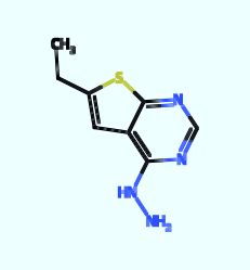 CCc1cc2c(NN)ncnc2s1